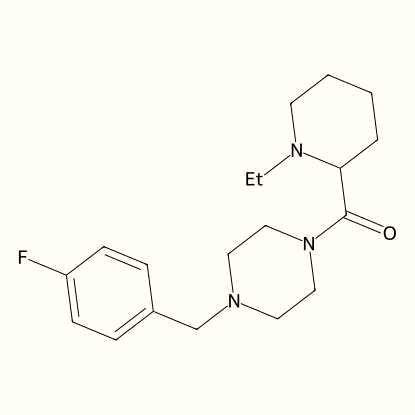 CCN1CCCCC1C(=O)N1CCN(Cc2ccc(F)cc2)CC1